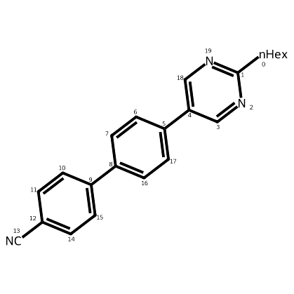 CCCCCCc1ncc(-c2ccc(-c3ccc(C#N)cc3)cc2)cn1